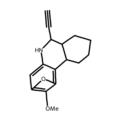 C#CC1Nc2cc3c(OC)c(c2C2CCCCC12)O3